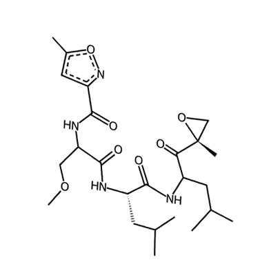 COCC(NC(=O)c1cc(C)on1)C(=O)N[C@@H](CC(C)C)C(=O)NC(CC(C)C)C(=O)[C@@]1(C)CO1